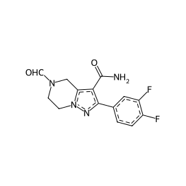 NC(=O)c1c(-c2ccc(F)c(F)c2)nn2c1CN(C=O)CC2